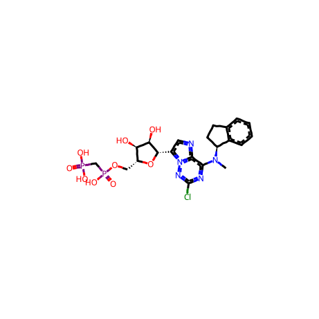 CN(c1nc(Cl)nn2c([C@@H]3O[C@H](COP(=O)(O)CP(=O)(O)O)[C@@H](O)[C@H]3O)cnc12)[C@H]1CCc2ccccc21